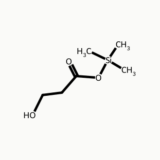 C[Si](C)(C)OC(=O)CCO